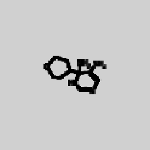 NC1=CN=CNC1(N)C1CCOCC1